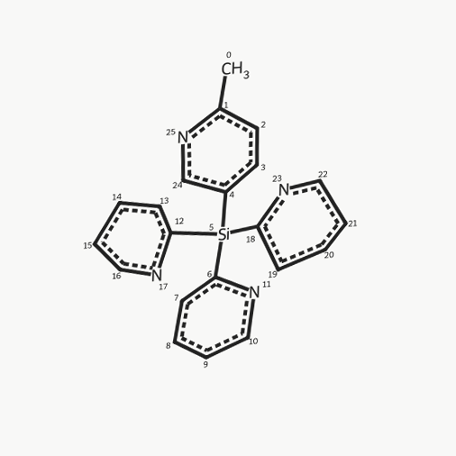 Cc1ccc([Si](c2ccccn2)(c2ccccn2)c2ccccn2)cn1